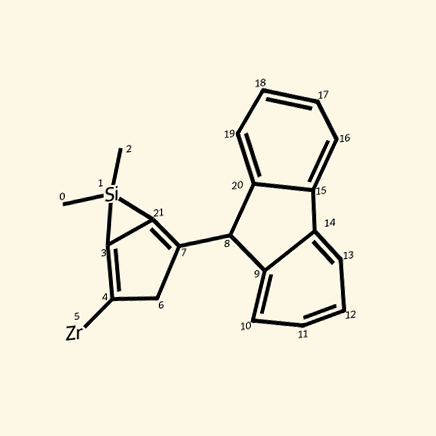 C[Si]1(C)C2=[C]([Zr])CC(C3c4ccccc4-c4ccccc43)=C21